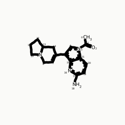 CC(=O)n1cc(C2=CCN3CCCC3C2)c2nc(N)ccc21